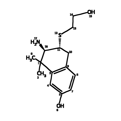 CC1(C)c2cc(O)ccc2C[C@@H](SCCO)[C@@H]1N